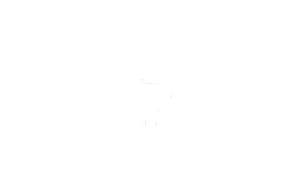 CN=C(C)N(C)Cl.Cl